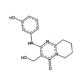 O=c1c(CO)c(Nc2cccc(O)c2)nc2n1CCCC2